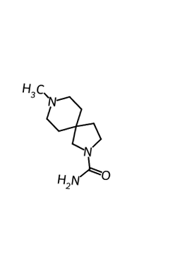 CN1CCC2(CC1)CCN(C(N)=O)C2